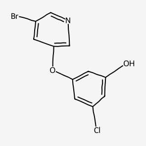 Oc1cc(Cl)cc(Oc2cncc(Br)c2)c1